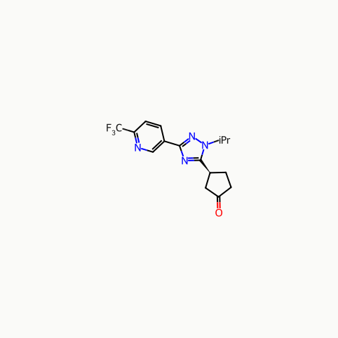 CC(C)n1nc(-c2ccc(C(F)(F)F)nc2)nc1[C@H]1CCC(=O)C1